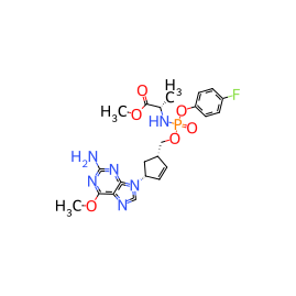 COC(=O)[C@H](C)NP(=O)(OC[C@@H]1C=C[C@H](n2cnc3c(OC)nc(N)nc32)C1)Oc1ccc(F)cc1